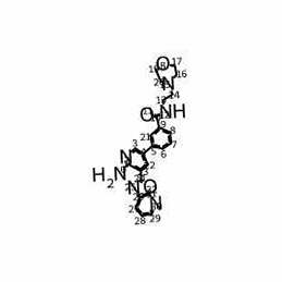 Nc1ncc(-c2cccc(C(=O)NCCN3CCOCC3)c2)cc1-c1nc2cccnc2o1